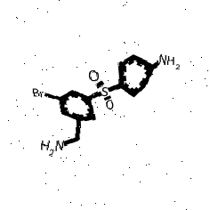 NCc1cc(Br)cc(S(=O)(=O)c2ccc(N)cc2)c1